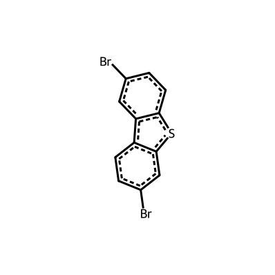 Brc1ccc2c(c1)sc1ccc(Br)cc12